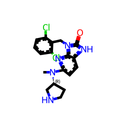 CN(c1ccc2[nH]c(=O)n(Cc3c(Cl)cccc3Cl)c2n1)[C@@H]1CCNC1